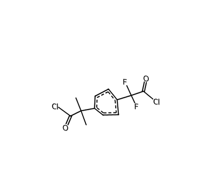 CC(C)(C(=O)Cl)c1ccc(C(F)(F)C(=O)Cl)cc1